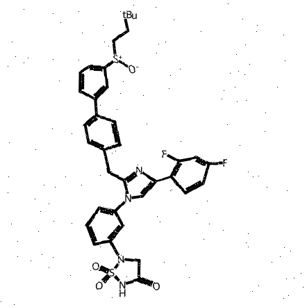 CC(C)(C)CC[S+]([O-])c1cccc(-c2ccc(Cc3nc(-c4ccc(F)cc4F)cn3-c3cccc(N4CC(=O)NS4(=O)=O)c3)cc2)c1